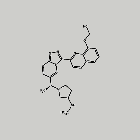 N#CCOc1cccc2ccc(-c3nnc4ccc([C@@H](N5CCC(NC(=O)O)C5)C(F)(F)F)cn34)nc12